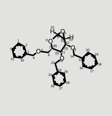 c1ccc(COC[C@H]2O[C@@H]3O[C@@H]3[C@@H](OCc3ccccc3)[C@H]2OCc2ccccc2)cc1